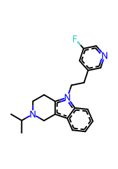 CC(C)N1CCc2c(c3ccccc3n2CCc2cncc(F)c2)C1